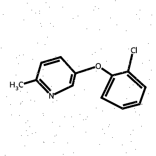 Cc1ccc(Oc2cc[c]cc2Cl)cn1